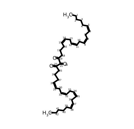 CCCCC/C=C\C/C=C\C/C=C\C/C=C\CCCC(=O)C(=O)C(=O)CCC/C=C\C/C=C\C/C=C\C/C=C\CCCCC